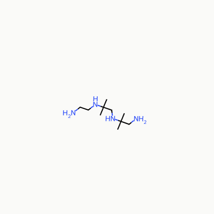 CC(C)(CN)NCC(C)(C)NCCN